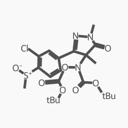 CN1N=C(c2ccc([S+](C)[O-])c(Cl)c2)C(C)(N(OC(=O)OC(C)(C)C)C(=O)OC(C)(C)C)C1=O